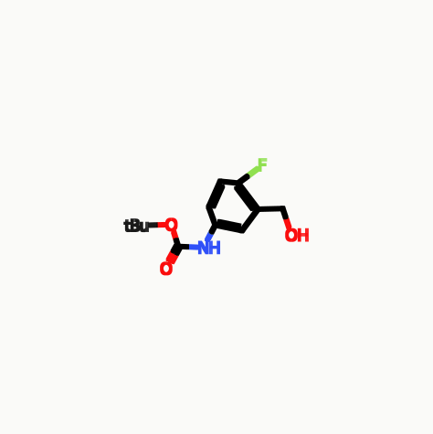 CC(C)(C)OC(=O)Nc1ccc(F)c(CO)c1